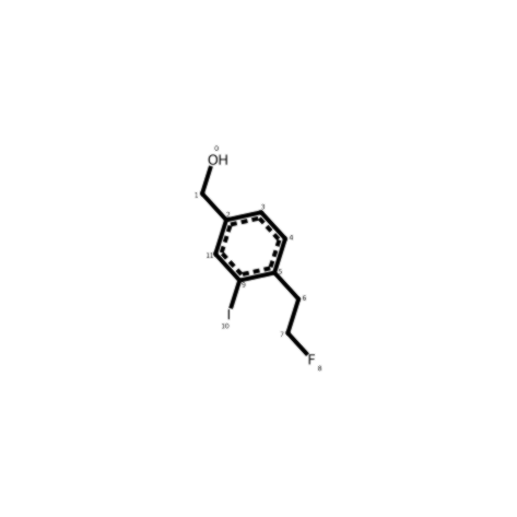 OCc1ccc(CCF)c(I)c1